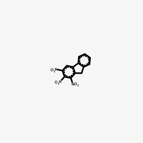 O=[N+]([O-])c1cc2c(c([N+](=O)[O-])c1[N+](=O)[O-])Cc1ccccc1-2